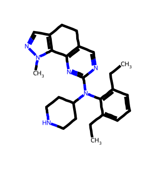 CCc1cccc(CC)c1N(c1ncc2c(n1)-c1c(cnn1C)CC2)C1CCNCC1